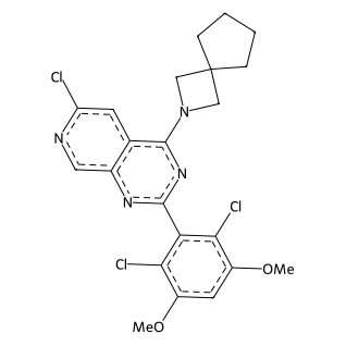 COc1cc(OC)c(Cl)c(-c2nc(N3CC4(CCCC4)C3)c3cc(Cl)ncc3n2)c1Cl